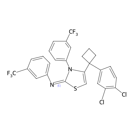 FC(F)(F)c1cccc(/N=c2/scc(C3(c4ccc(Cl)c(Cl)c4)CCC3)n2-c2cccc(C(F)(F)F)c2)c1